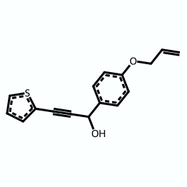 C=CCOc1ccc(C(O)C#Cc2cccs2)cc1